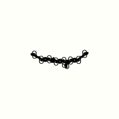 C=CC(=O)OCCCCOC(=O)C1CCC(C(=O)Oc2ccc(OC(=O)C3CCC(C(=O)Oc4ccc(OC(=O)C5CCC(C(=O)OCCCCOC(=O)C=C)CC5)cc4C(=O)OC)CC3)c(C)c2)CC1